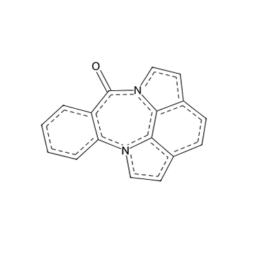 O=c1c2ccccc2n2ccc3ccc4ccn1c4c32